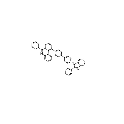 c1ccc(-c2nc3ccccc3c3c(-c4ccc(-c5ccc(-n6c(-c7ccccc7)nc7ccccc76)cc5)cc4)cccc23)cc1